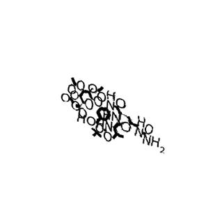 COC(=O)[C@H]1O[C@@H](Oc2cc(CO)ccc2NC(=O)[C@H](CCCNC(N)=O)NC(=O)[C@@H](NC(=O)OC(C)(C)C)C(C)C)[C@H](OC(C)=O)[C@@H](OC(C)=O)[C@@H]1OC(C)=O